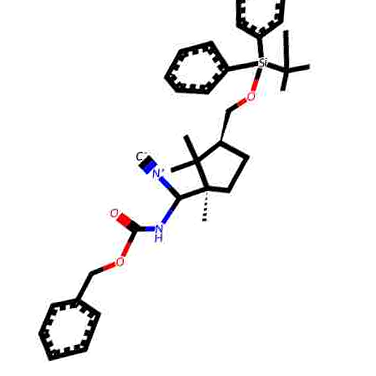 [C-]#[N+]C(NC(=O)OCc1ccccc1)[C@]1(C)CC[C@H](CO[Si](c2ccccc2)(c2ccccc2)C(C)(C)C)C1(C)C